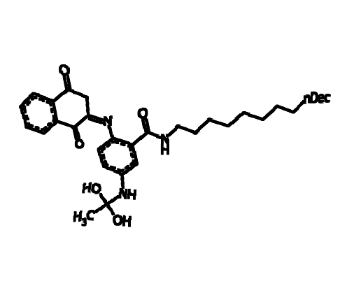 CCCCCCCCCCCCCCCCCCNC(=O)c1cc(NC(C)(O)O)ccc1N=C1CC(=O)c2ccccc2C1=O